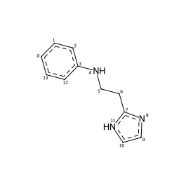 c1ccc(NCCc2ncc[nH]2)cc1